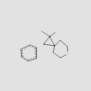 ClC1(Cl)[C@@H](c2ccccc2)C12CCNCC2